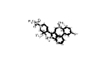 CN1Cc2c(C3=CCN(S(C)(=O)=O)CC3(C)C)[nH]c3nccc(c23)-c2cc(F)ccc21